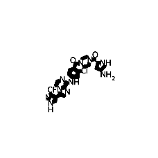 N[C@H]1CN[C@H](C(=O)N2CCN(C(=O)c3ccc(Nc4nccn5c(-c6c[nH]nc6C(F)(F)F)cnc45)cc3Cl)CC2)C1